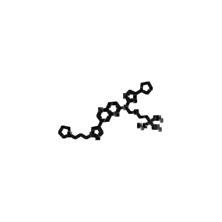 C[Si](C)(C)CCOCN(c1ccc2ncc(-c3cnn(CCCN4CCCC4)c3)cc2n1)c1ncc(C2CCCC2)s1